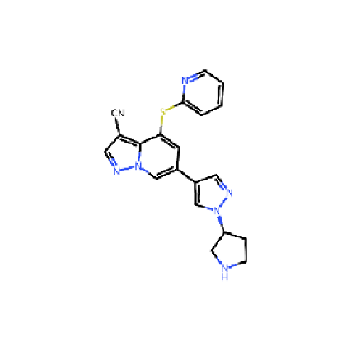 N#Cc1cnn2cc(-c3cnn([C@H]4CCNC4)c3)cc(Sc3ccccn3)c12